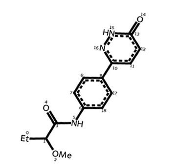 CCC(OC)C(=O)Nc1ccc(-c2ccc(=O)[nH]n2)cc1